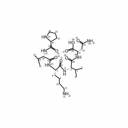 CC(C)[C@H](NC(=O)[C@H](CCCCN)NC(=O)[C@@H](NC(=O)[C@@H]1CCCN1)C(C)C)C(=O)N[C@@H](CC(N)=O)C(=O)O